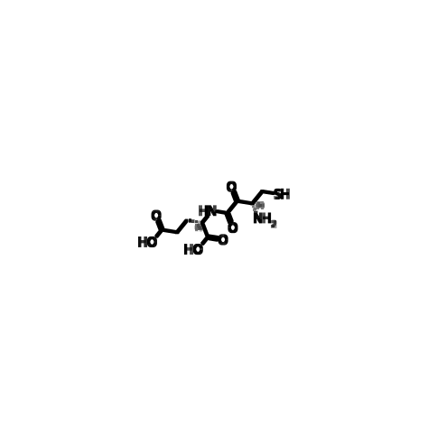 N[C@@H](CS)C(=O)C(=O)N[C@@H](CCC(=O)O)C(=O)O